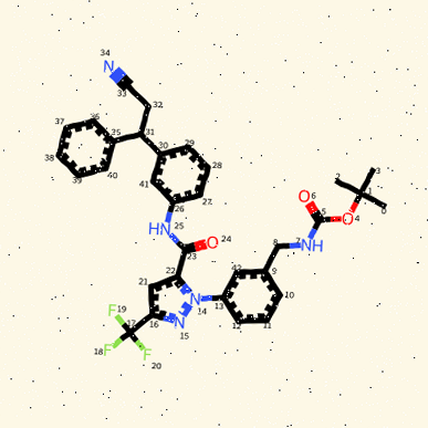 CC(C)(C)OC(=O)NCc1cccc(-n2nc(C(F)(F)F)cc2C(=O)Nc2cccc(C(CC#N)c3ccccc3)c2)c1